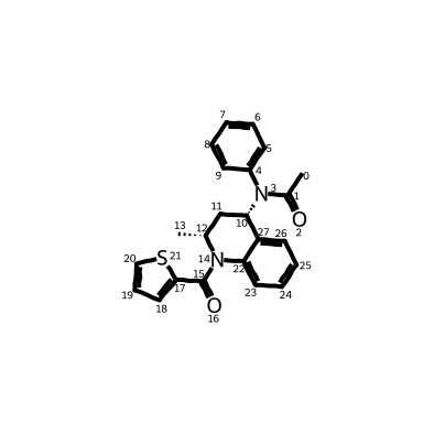 CC(=O)N(c1ccccc1)[C@H]1C[C@@H](C)N(C(=O)c2cccs2)c2ccccc21